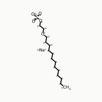 CCCCCCCCCCCCCOCCOS(=O)(=O)[O-].[Na+]